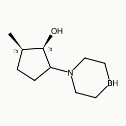 C[C@@H]1CCC(N2CCBCC2)[C@@H]1O